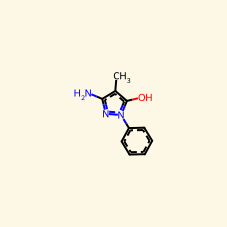 Cc1c(N)nn(-c2ccccc2)c1O